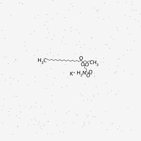 CCCCCCCCCCCCCCCCCC(=O)C(CCCC)OC(=O)CC[C@H](N)C(=O)[O-].[K+]